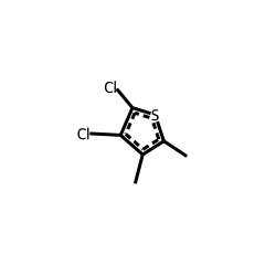 Cc1sc(Cl)c(Cl)c1C